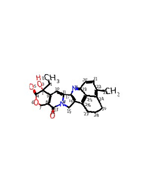 CC[C@@]1(O)C(=O)OCc2c1cc1n(c2=O)Cc2c-1nc1ccc(C)c3c1c2CCC3